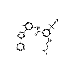 Cc1ccc(NC(=O)c2cc(NCCN(C)C)cc(C(C)(C)C#N)c2)cc1-n1cc(-c2cncnc2)nn1